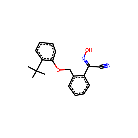 CC(C)(C)c1ccccc1OCc1ccccc1C(C#N)=NO